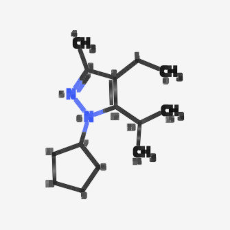 CCc1c(C)nn(C2CCCC2)c1C(C)C